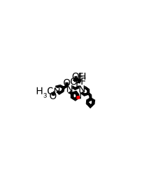 CC(=O)N1CCC(C(=O)N(CCCN2CCC(Cc3ccccc3)CC2)Cc2cccnc2)CC1.O=C(O)C(F)(F)F